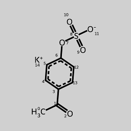 CC(=O)c1ccc(OS(=O)(=O)[O-])cc1.[K+]